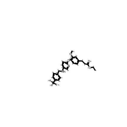 CCOC(=O)CCc1ccc(Oc2ccc(NCc3ccc(C(F)(F)F)cc3)cn2)c(OC)c1